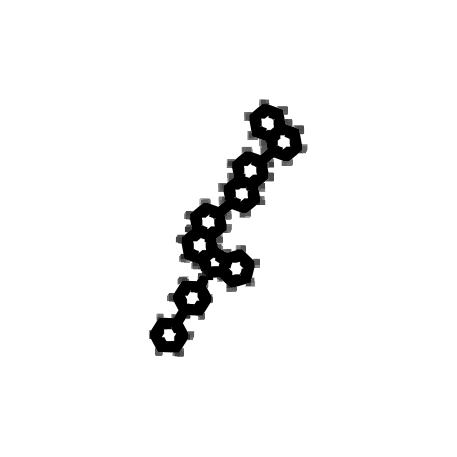 c1ccc(-c2ccc(-n3c4ccccc4c4c5cc(-c6ccc7cc(-c8cccc9ccccc89)ccc7c6)ccc5ccc43)cc2)cc1